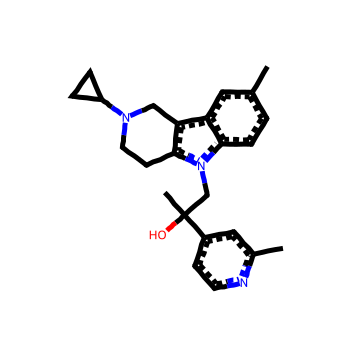 Cc1ccc2c(c1)c1c(n2CC(C)(O)c2ccnc(C)c2)CCN(C2CC2)C1